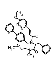 COCCN(C)C(=O)[C@H](Cc1ccccc1)N(Cc1ccc(-c2ccccn2)cc1)C(=O)/C=C/c1ccc(OC)nn1